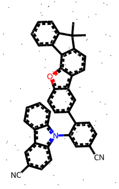 CC1(C)c2ccccc2-c2c1ccc1c2oc2ccc(-c3ccc(C#N)cc3-n3c4ccccc4c4cc(C#N)ccc43)cc21